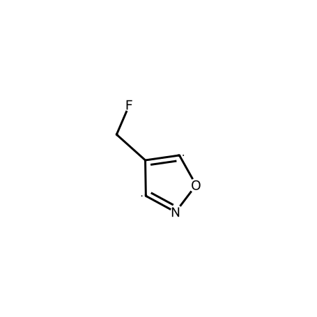 FCc1[c]no[c]1